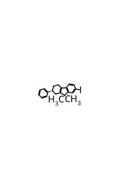 CC1(C)C2=C(CC[C@H](c3ccccc3)C2)c2ccc(I)cc21